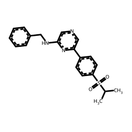 CC(C)S(=O)(=O)c1ccc(-c2cncc(NCc3ccccc3)n2)cc1